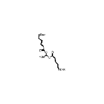 CCCCCCCCCCCCCCC(=O)OC(CCCC)OC(=O)CCCCCCCCCCCCCC